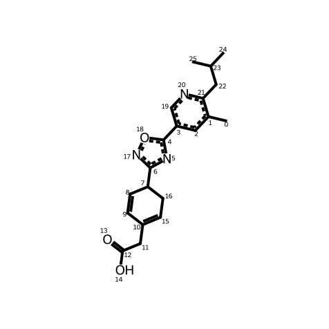 Cc1cc(-c2nc(C3C=CC(CC(=O)O)=CC3)no2)cnc1CC(C)C